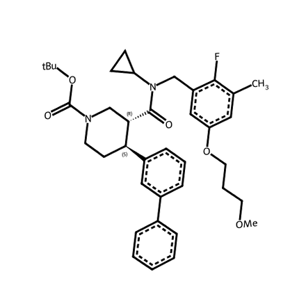 COCCCOc1cc(C)c(F)c(CN(C(=O)[C@H]2CN(C(=O)OC(C)(C)C)CC[C@@H]2c2cccc(-c3ccccc3)c2)C2CC2)c1